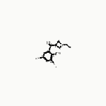 CCN1CC(C(F)c2cc(F)cc(F)c2F)C1